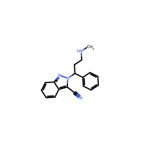 CNCCC(c1ccccc1)n1nc2ccccc2c1C#N